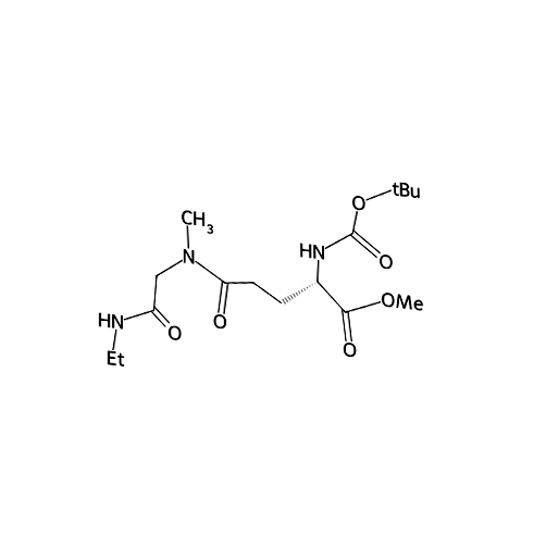 CCNC(=O)CN(C)C(=O)CC[C@H](NC(=O)OC(C)(C)C)C(=O)OC